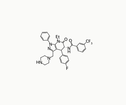 CCN1C(=O)[C@H](NC(=O)c2cccc(C(F)(F)F)c2)C(c2ccc(F)cc2)c2c(CN3CCNCC3)nn(-c3ccccc3)c21